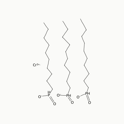 CCCCCCCCCC[PH](=O)[O-].CCCCCCCCCC[PH](=O)[O-].CCCCCCCCCC[PH](=O)[O-].[Cr+3]